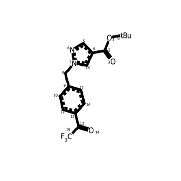 CC(C)(C)OC(=O)c1cnn(Cc2ccc(C(=O)C(F)(F)F)cc2)c1